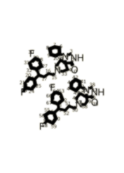 O=C1NCN(c2ccccc2)C12CCN(CCCC(c1ccc(F)cc1)c1ccc(F)cc1)CC2.O=C1NCN(c2ccccc2)C12CCN(CCCC(c1ccc(F)cc1)c1ccc(F)cc1)CC2